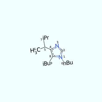 CCCCn1cnc(C(C)C(C)C)c1C(C)CC